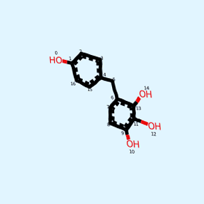 Oc1ccc(Cc2ccc(O)c(O)c2O)cc1